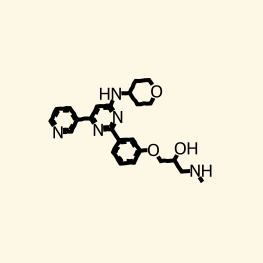 CNCC(O)COc1cccc(-c2nc(NC3CCOCC3)cc(-c3cccnc3)n2)c1